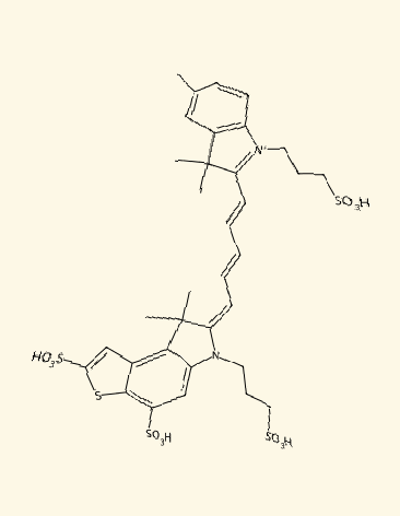 Cc1ccc2c(c1)C(C)(C)C(/C=C/C=C/C=C1/N(CCCS(=O)(=O)O)c3cc(S(=O)(=O)O)c4sc(S(=O)(=O)O)cc4c3C1(C)C)=[N+]2CCCS(=O)(=O)O